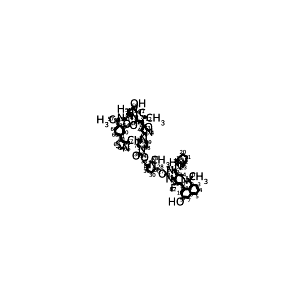 CCc1cccc2cc(O)cc(-c3ncc4c(N5CC6CCC(C5)N6)nc(OC[C@@H]5CC[C@@H](COC(=O)N6CCN(c7cc([C@@H](C(=O)N8C[C@H](O)C[C@H]8C(=O)N[C@@H](C)c8ccc(-c9scnc9C)cc8)C(C)C)on7)CC6)N5C)nc4c3F)c12